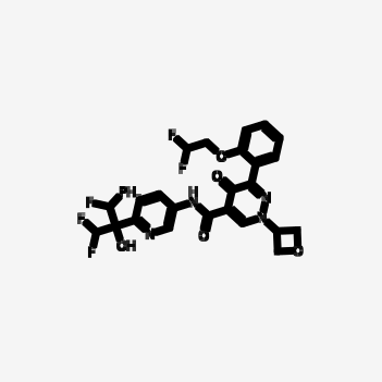 O=C(Nc1ccc(C(O)(C(F)F)C(F)P)nc1)c1cn(C2COC2)nc(-c2ccccc2OCC(F)F)c1=O